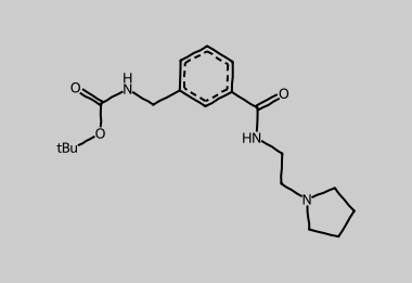 CC(C)(C)OC(=O)NCc1cccc(C(=O)NCCN2CCCC2)c1